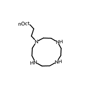 CCCCCCCCCCN1CCNCCNCCNCC1